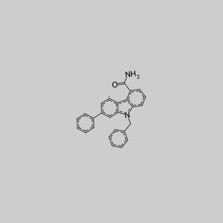 NC(=O)c1cccc2c1c1[c]cc(-c3ccccc3)cc1n2Cc1ccccc1